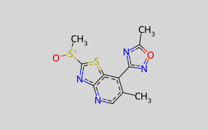 Cc1nc(-c2c(C)cnc3nc([S+](C)[O-])sc23)no1